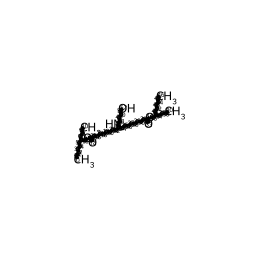 CCCCCCC(CCCC)COC(=O)CCCCCCCCC(CCCCCCCCC(=O)OCC(CCCC)CCCCCC)NCCCCO